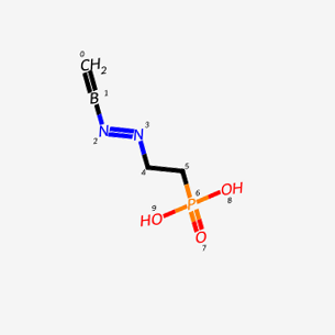 C=BN=NCCP(=O)(O)O